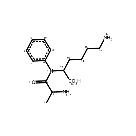 CC(N)C(=O)N(c1ccccc1)C(CCCCN)C(=O)O